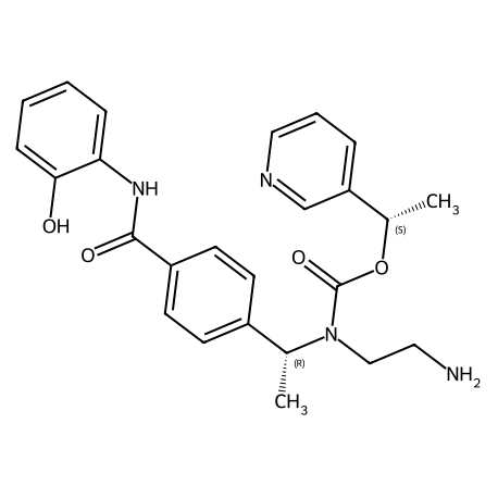 C[C@H](OC(=O)N(CCN)[C@H](C)c1ccc(C(=O)Nc2ccccc2O)cc1)c1cccnc1